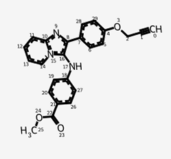 C#CCOc1ccc(-c2nc3ccccn3c2Nc2ccc(C(=O)OC)cc2)cc1